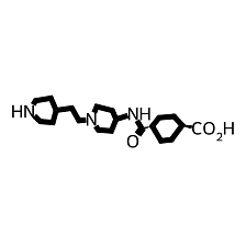 O=C(O)[C@H]1CC[C@H](C(=O)NC2CCN(CCC3CCNCC3)CC2)CC1